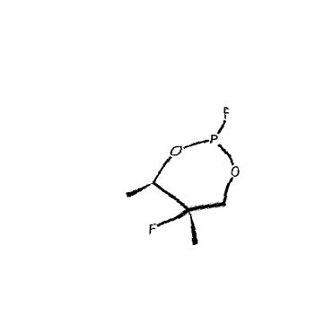 C[C@H]1OP(F)OC[C@]1(C)F